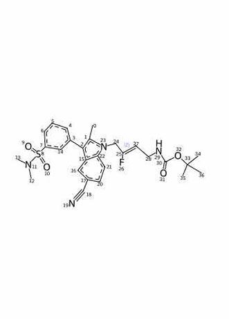 Cc1c(-c2cccc(S(=O)(=O)N(C)C)c2)c2cc(C#N)ccc2n1C/C(F)=C/CNC(=O)OC(C)(C)C